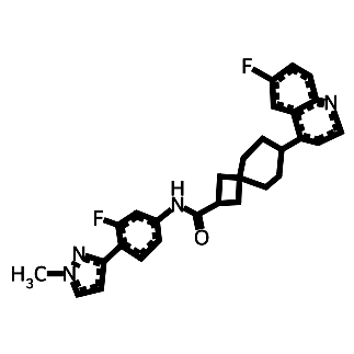 Cn1ccc(-c2ccc(NC(=O)C3CC4(CCC(c5ccnc6ccc(F)cc56)CC4)C3)cc2F)n1